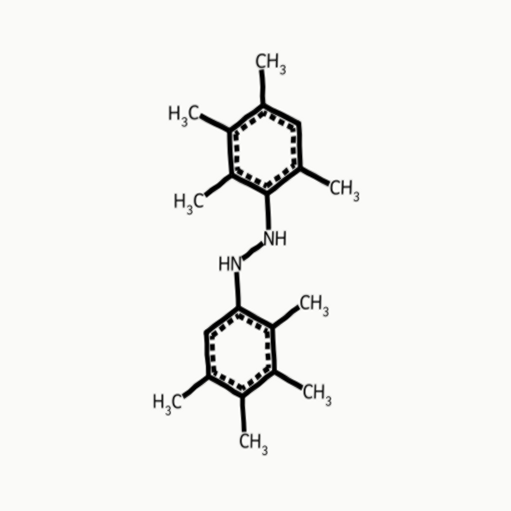 Cc1cc(NNc2c(C)cc(C)c(C)c2C)c(C)c(C)c1C